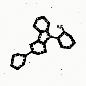 Cc1ccccc1-n1c2ccccc2c2cc(-c3ccccc3)ccc21